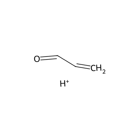 C=CC=O.[H+]